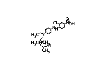 CCN(CC[N+](C)(C)CC(C)O)c1ccc(/N=N/c2ccc([N+](=O)O)cc2Cl)cc1